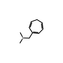 CN(C)CC1=CC=CCC=C1